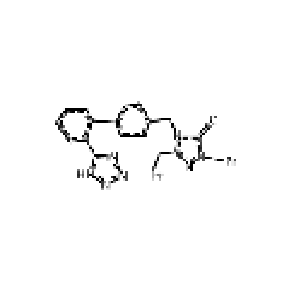 CC(C)Cc1nn(C(C)C)c(=O)n1Cc1ccc(-c2ccccc2-c2nnn[nH]2)cc1